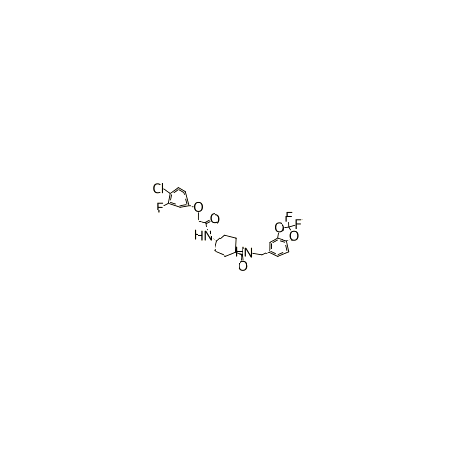 O=C(COc1ccc(Cl)c(F)c1)N[C@H]1CC[C@H](C(=O)NCc2ccc3c(c2)OC(F)(F)O3)CC1